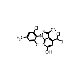 N#Cc1nn(-c2c(Cl)cc(C(F)(F)F)cc2Cl)c2nc(O)cc(C(Cl)Cl)c12